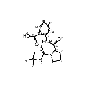 CC(C)(C)OC(=O)N1CCC[C@H]1C(=O)Nc1ncccc1C(=O)O